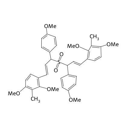 COc1ccc(C(C=Cc2ccc(OC)c(C)c2OC)S(=O)(=O)C(C=Cc2ccc(OC)c(C)c2OC)c2ccc(OC)cc2)cc1